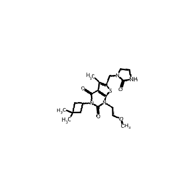 COCCn1c(=O)n(C2CC(C)(C)C2)c(=O)c2c(C)c(CN3CCNC3=O)sc21